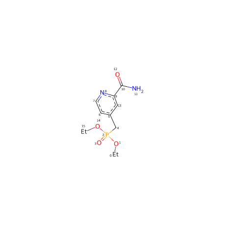 CCOP(=O)(Cc1ccnc(C(N)=O)c1)OCC